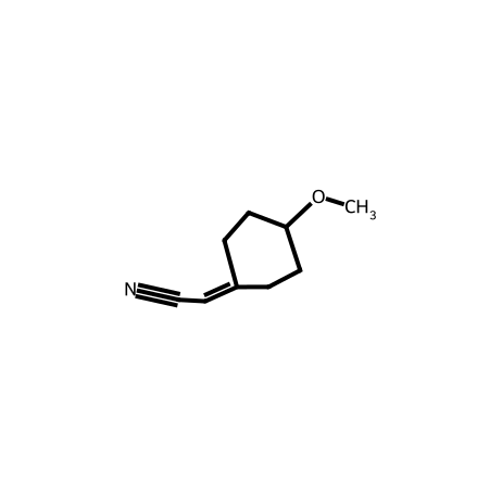 COC1CCC(=CC#N)CC1